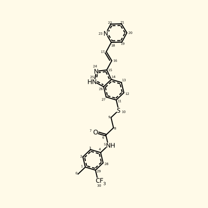 Cc1ccc(NC(=O)CCSc2ccc3c(C=Cc4ccccn4)n[nH]c3c2)cc1C(F)(F)F